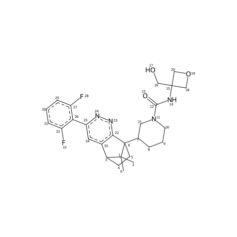 CC1(C)C2CCC1(C1CCCN(C(=O)NC3(CO)COC3)C1)c1nnc(-c3c(F)cccc3F)cc12